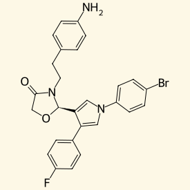 Nc1ccc(CCN2C(=O)CO[C@@H]2c2cn(-c3ccc(Br)cc3)cc2-c2ccc(F)cc2)cc1